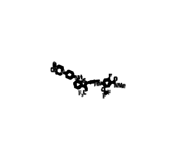 CNC(=O)c1cc(OC(F)F)c(NCC#Cc2sc3c(NC4CCC(N5CCS(=O)(=O)CC5)CC4)cccc3c2CC(F)(F)F)cc1F